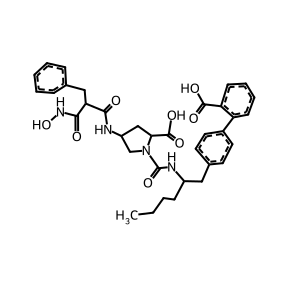 CCCCC(Cc1ccc(-c2ccccc2C(=O)O)cc1)NC(=O)N1CC(NC(=O)C(Cc2ccccc2)C(=O)NO)CC1C(=O)O